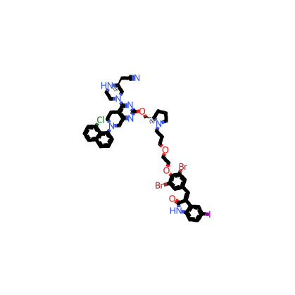 N#CC[C@H]1CN(c2nc(OC[C@@H]3CCCN3CCCOCCOc3c(Br)cc(C=C4C(=O)Nc5ccc(I)cc54)cc3Br)nc3c2CCN(c2cccc4cccc(Cl)c24)C3)CCN1